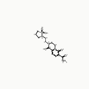 NC(=O)c1ccc2n(c1=O)CCN(CCN1CCCS1(=O)=O)C2=O